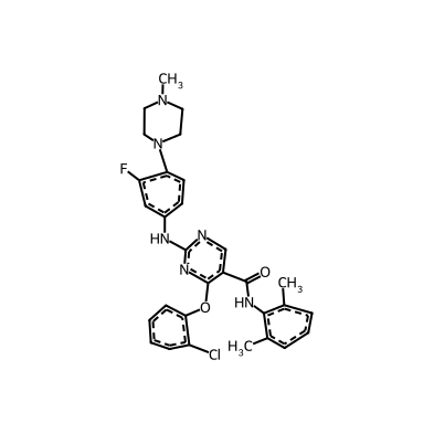 Cc1cccc(C)c1NC(=O)c1cnc(Nc2ccc(N3CCN(C)CC3)c(F)c2)nc1Oc1ccccc1Cl